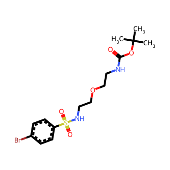 CC(C)(C)OC(=O)NCCOCCNS(=O)(=O)c1ccc(Br)cc1